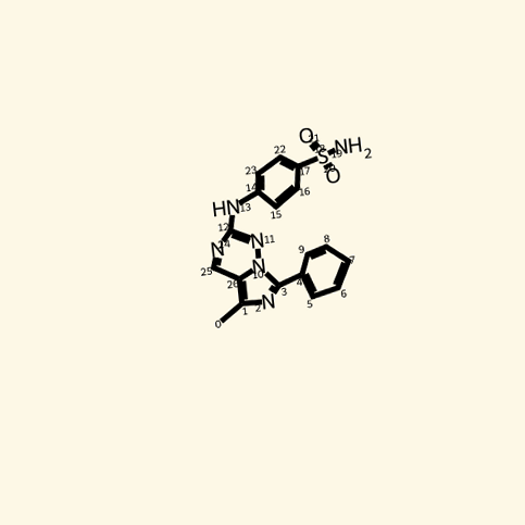 Cc1nc(-c2ccccc2)n2nc(Nc3ccc(S(N)(=O)=O)cc3)ncc12